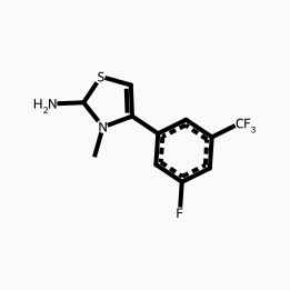 CN1C(c2cc(F)cc(C(F)(F)F)c2)=CSC1N